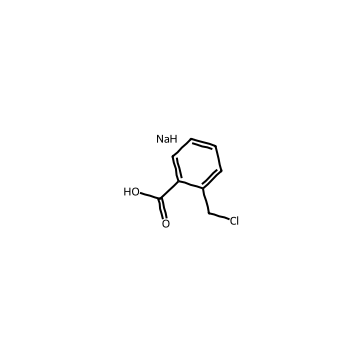 O=C(O)c1ccccc1CCl.[NaH]